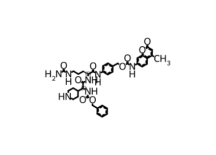 Cc1cc(=O)oc2cc(NC(=O)OCc3ccc(NC(=O)[C@H](CCCNC(N)=O)NC(=O)[C@@H](NC(=O)OCc4ccccc4)C4CCNCC4)cc3)ccc12